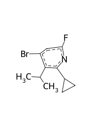 CC(C)c1c(Br)cc(F)nc1C1CC1